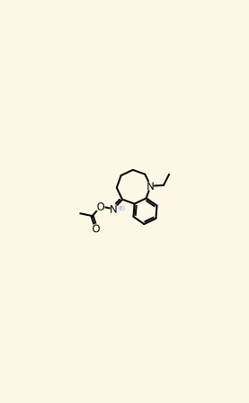 CCN1CCCC/C(=N\OC(C)=O)c2ccccc21